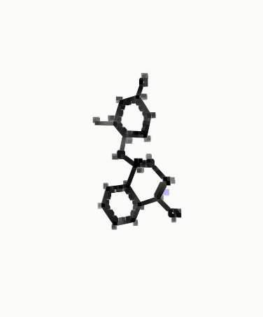 CO/N=C(/C#N)c1ccccc1COc1ccc(Cl)cc1C